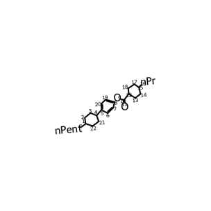 CCCCCC1CCC(c2ccc(OC(=O)C3CCC(CCC)CC3)cc2)CC1